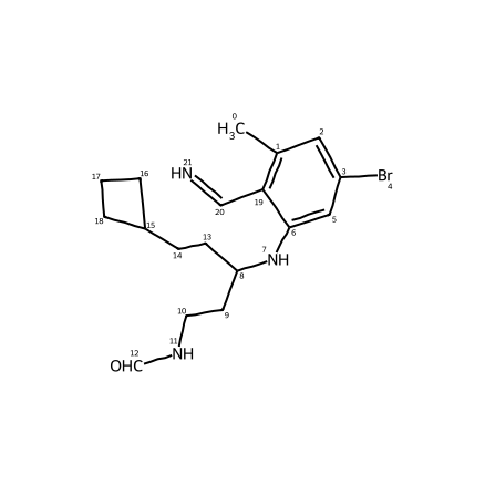 Cc1cc(Br)cc(NC(CCNC=O)CCC2CCC2)c1C=N